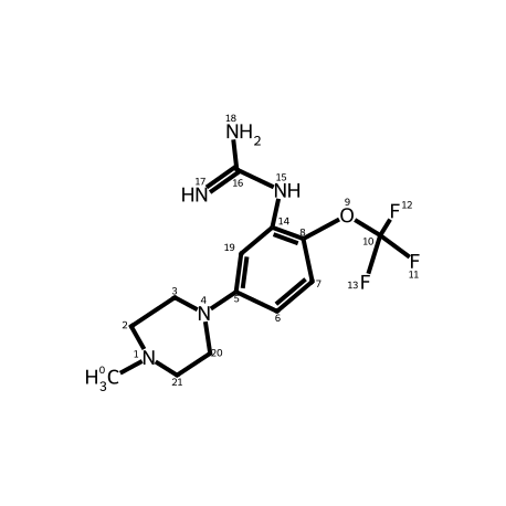 CN1CCN(c2ccc(OC(F)(F)F)c(NC(=N)N)c2)CC1